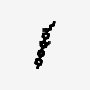 CCCCNC1CCC(c2ccc(-c3ccc(C4CCC(C)CC4)cc3)cc2F)CC1